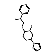 FC(COC1CCC(n2cccn2)CC1F)c1ccccc1